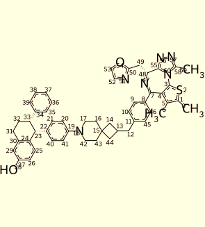 Cc1sc2c(c1C)C(c1ccc(CC3CC4(CCN(c5ccc([C@@H]6c7ccc(O)cc7CC[C@@H]6c6ccccc6)cc5)CC4)C3)cc1)=N[C@H](Cc1ncco1)c1nnc(C)n1-2